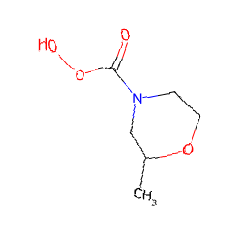 CC1CN(C(=O)OO)CCO1